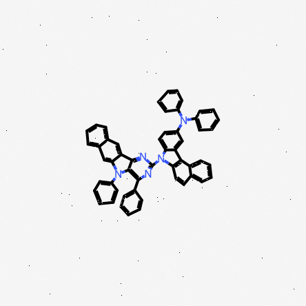 c1ccc(-c2nc(-n3c4ccc(N(c5ccccc5)c5ccccc5)cc4c4c5ccccc5ccc43)nc3c4cc5ccccc5cc4n(-c4ccccc4)c23)cc1